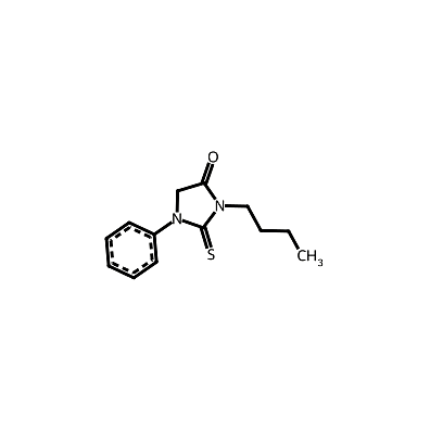 CCCCN1C(=O)CN(c2ccccc2)C1=S